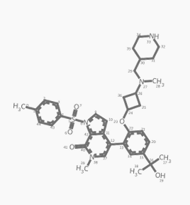 Cc1ccc(S(=O)(=O)n2ccc3c(-c4cc(C(C)(C)O)ccc4OC4CC(N(C)CC5CCNCC5)C4)cn(C)c(=O)c32)cc1